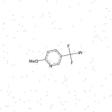 COc1ccc(C(F)(F)C(C)C)cn1